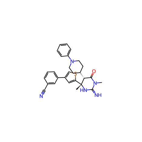 CN1C(=N)N[C@](C)(c2cc(-c3cccc(C#N)c3)cs2)[C@H](C2CCN(c3ccccc3)CC2)C1=O